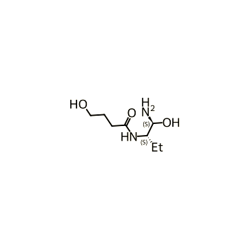 CC[C@H](NC(=O)CCCO)[C@@H](N)O